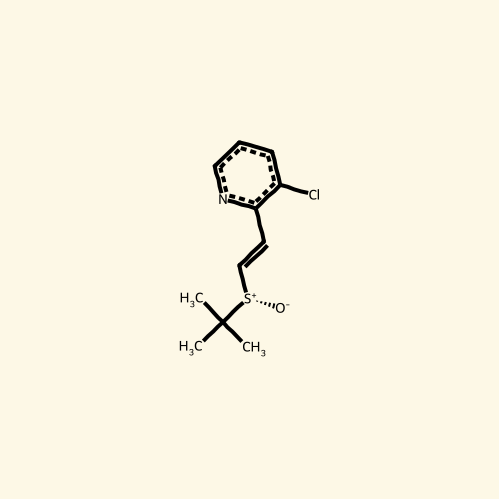 CC(C)(C)[S@@+]([O-])C=Cc1ncccc1Cl